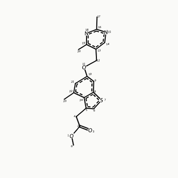 COC(=O)Cc1csc2cc(OCc3cnc(C)nc3C)cc(C)c12